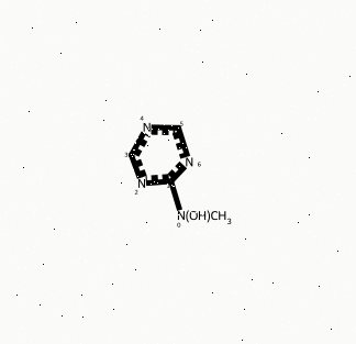 CN(O)c1ncncn1